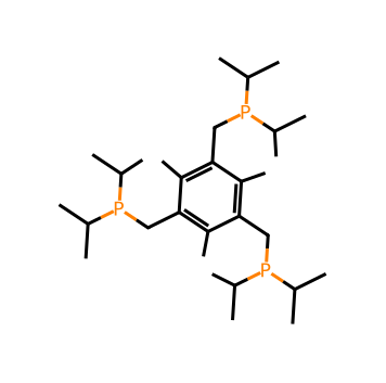 Cc1c(CP(C(C)C)C(C)C)c(C)c(CP(C(C)C)C(C)C)c(C)c1CP(C(C)C)C(C)C